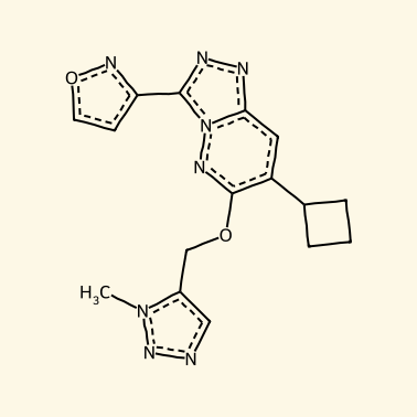 Cn1nncc1COc1nn2c(-c3ccon3)nnc2cc1C1CCC1